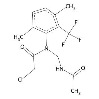 CC(=O)NCN(C(=O)CCl)c1c(C)ccc(C)c1C(F)(F)F